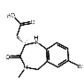 CN1Cc2cc(Br)ccc2N[C@@H](CC(=O)O)C1=O